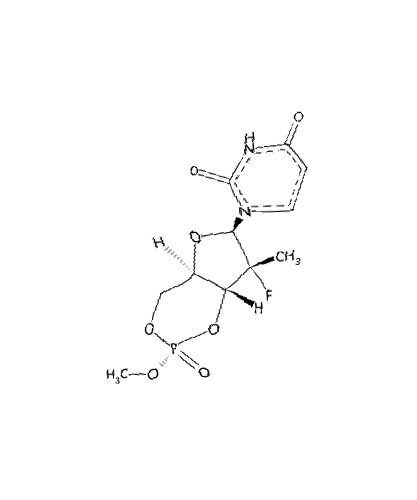 CO[P@]1(=O)OC[C@H]2O[C@@H](n3ccc(=O)[nH]c3=O)[C@](C)(F)[C@@H]2O1